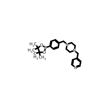 CC1(C)OB(c2ccc(CN3CCN(Cc4ccncc4)CC3)cc2)OC1(C)C